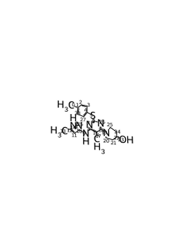 Cc1ccc(Sc2nc(Nc3cc(C)[nH]n3)c(C)c(N3CCC(O)CC3)n2)cc1